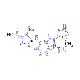 Cc1n[nH]cc1-c1nc2c(OC3CCN(C(=O)O)C3C(C)(C)C)ncnc2n1C